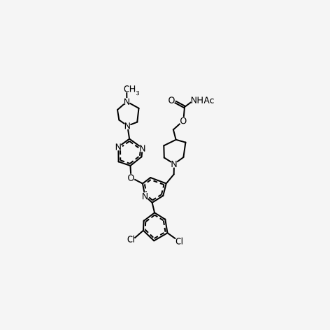 CC(=O)NC(=O)OCC1CCN(Cc2cc(Oc3cnc(N4CCN(C)CC4)nc3)nc(-c3cc(Cl)cc(Cl)c3)c2)CC1